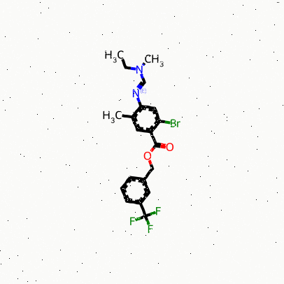 CCN(C)/C=N/c1cc(Br)c(C(=O)OCc2cccc(C(F)(F)F)c2)cc1C